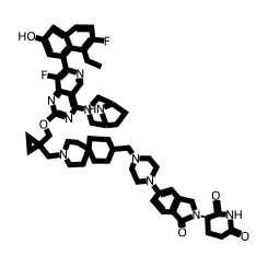 CCc1c(F)ccc2cc(O)cc(-c3ncc4c(N5CC6CCC(C5)N6)nc(OCC5(CN6CCC7(CCC(CN8CCN(c9ccc%10c(c9)CN([C@H]9CCC(=O)NC9=O)C%10=O)CC8)CC7)CC6)CC5)nc4c3F)c12